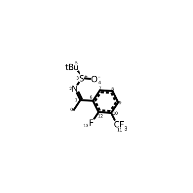 C/C(=N/[S@+]([O-])C(C)(C)C)c1cccc(C(F)(F)F)c1F